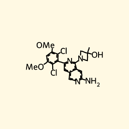 COc1cc(OC)c(Cl)c(-c2cc3cnc(N)cc3c(N3CC(C)(O)C3)n2)c1Cl